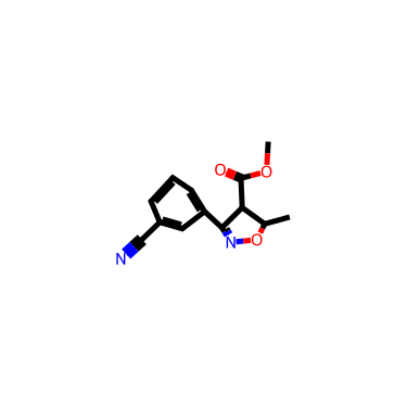 COC(=O)C1C(c2cccc(C#N)c2)=NOC1C